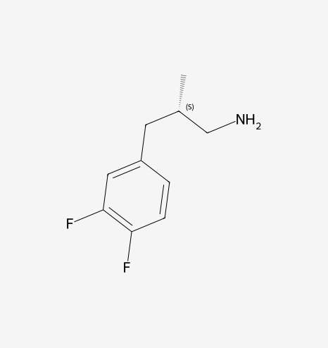 C[C@H](CN)Cc1ccc(F)c(F)c1